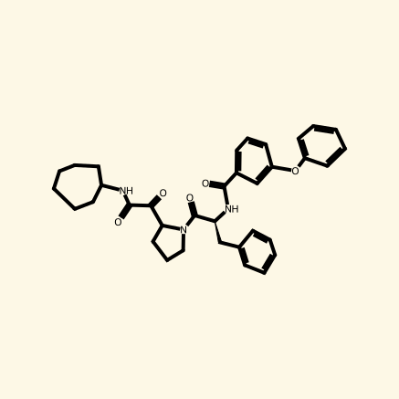 O=C(NC1CCCCCC1)C(=O)C1CCCN1C(=O)[C@H](Cc1ccccc1)NC(=O)c1cccc(Oc2ccccc2)c1